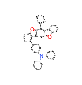 c1ccc(-c2c3oc4cccc(-c5ccc(N(c6ccccc6)c6ccccc6)cc5)c4c3cc3oc4ccccc4c23)cc1